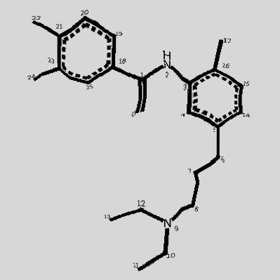 C=C(Nc1cc(CCCN(CC)CC)ccc1C)c1ccc(C)c(C)c1